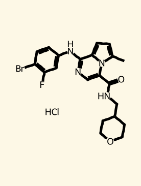 Cc1ccc2c(Nc3ccc(Br)c(F)c3)ncc(C(=O)NCC3CCOCC3)n12.Cl